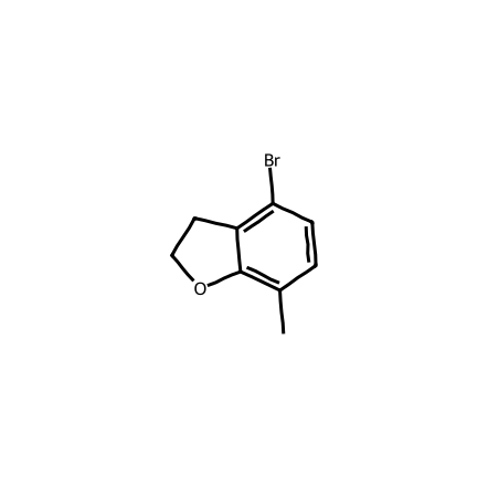 Cc1ccc(Br)c2c1OCC2